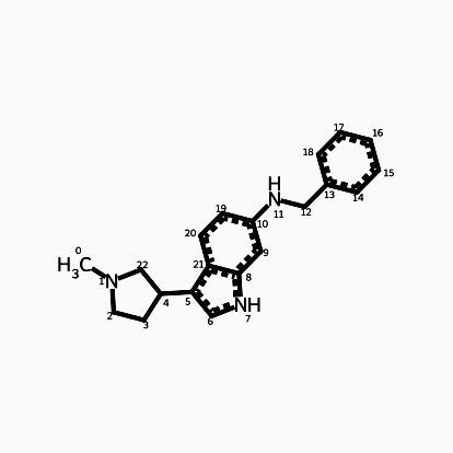 CN1CCC(c2c[nH]c3cc(NCc4ccccc4)ccc23)C1